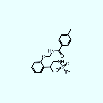 Cc1ccc(C(=O)NCOc2ccccc2C(C)CNS(=O)(=O)C(C)C)cc1